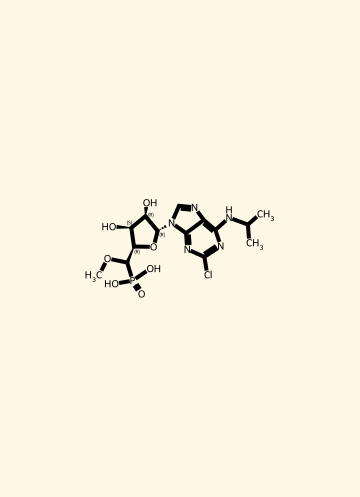 COC([C@@H]1O[C@@H](n2cnc3c(NC(C)C)nc(Cl)nc32)[C@H](O)[C@@H]1O)P(=O)(O)O